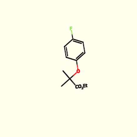 CCOC(=O)C(C)(C)Oc1ccc(F)cc1